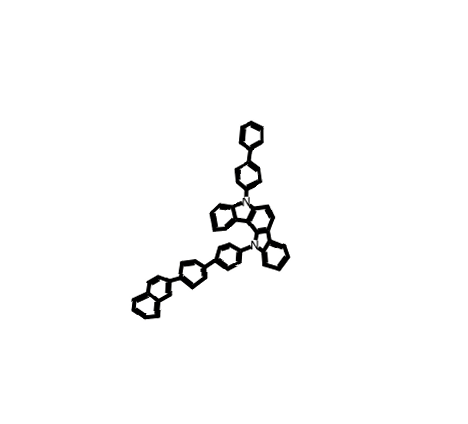 c1ccc(-c2ccc(-n3c4ccccc4c4c3ccc3c5ccccc5n(-c5ccc(-c6ccc(-c7ccc8ccccc8c7)cc6)cc5)c34)cc2)cc1